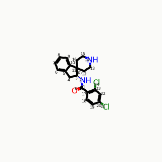 O=C(N[C@@H]1Cc2ccccc2C12CCNCC2)c1ccc(Cl)cc1Cl